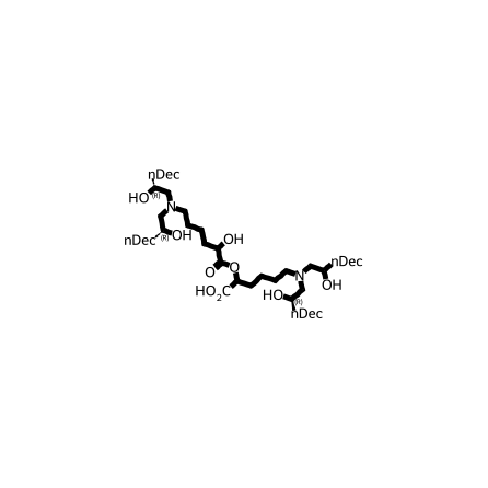 CCCCCCCCCCC(O)CN(CCCCC(OC(=O)C(O)CCCCN(C[C@H](O)CCCCCCCCCC)C[C@H](O)CCCCCCCCCC)C(=O)O)C[C@H](O)CCCCCCCCCC